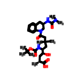 C[C@H](C[C@H](O)[C@H](CC(C)(C)CC(=O)N1C[C@H](NC(=O)N(C)C)Cc2ccccc21)NC(=O)OC(C)(C)C)C(=O)O